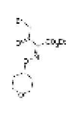 CCOC(=O)C(=NOC1CCOCC1)C(=O)CBr